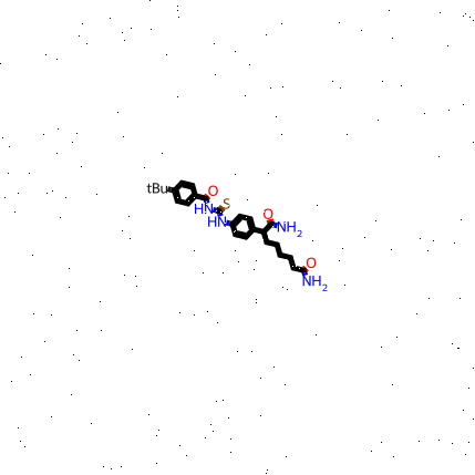 CC(C)(C)c1ccc(C(=O)NC(=S)Nc2ccc(C(CCCCCC(N)=O)C(N)=O)cc2)cc1